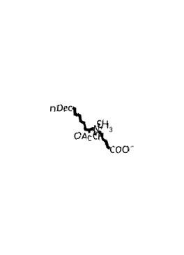 CCCCCCCCCCCCCCCCC(C[N+](C)(C)CCCCC(=O)[O-])OC(C)=O